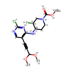 CCOC(C#Cc1cnc(Cl)nc1N[C@@H]1CCN(C(=O)OC(C)(C)C)C[C@@H]1F)OCC